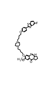 COc1cc2c(cc1OCCCCN1CCN(CCCCOc3ccc(-c4nc5cc(F)ccc5s4)cc3)CC1)N=C[C@@H]1CCCN1C2=O